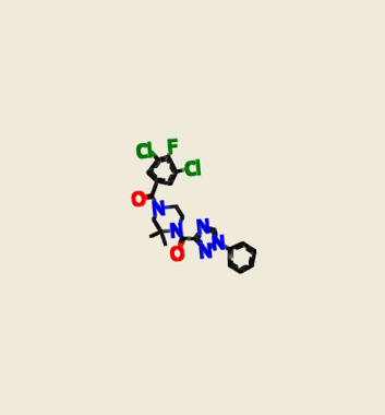 CC1(C)CN(C(=O)c2cc(Cl)c(F)c(Cl)c2)CCN1C(=O)c1ncn(-c2ccccc2)n1